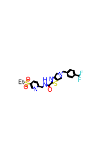 CCS(=O)(=O)c1ccc(CNC(=O)c2nc3c(s2)CN(Cc2ccc(C(F)F)cc2)C3)nc1